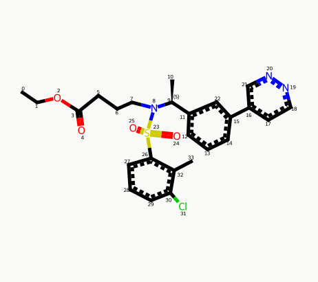 CCOC(=O)CCCN([C@@H](C)c1cccc(-c2ccnnc2)c1)S(=O)(=O)c1cccc(Cl)c1C